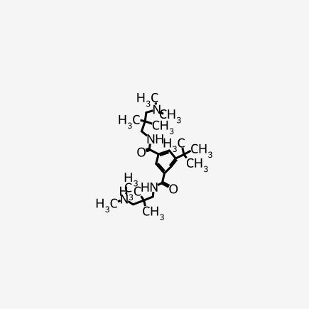 CN(C)CC(C)(C)CNC(=O)c1cc(C(=O)NCC(C)(C)CN(C)C)cc(C(C)(C)C)c1